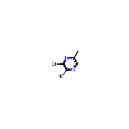 CCc1nc(C)cnc1C#N